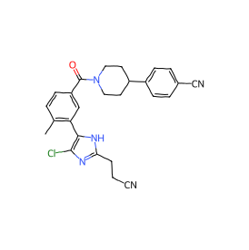 Cc1ccc(C(=O)N2CCC(c3ccc(C#N)cc3)CC2)cc1-c1[nH]c(CCC#N)nc1Cl